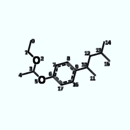 CCOC(C)Oc1ccc(C(C)CC(C)C)cc1